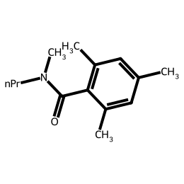 CCCN(C)C(=O)c1c(C)cc(C)cc1C